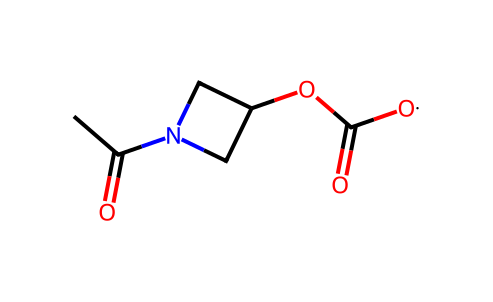 CC(=O)N1CC(OC([O])=O)C1